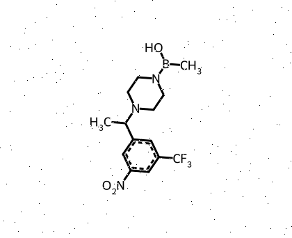 CB(O)N1CCN(C(C)c2cc([N+](=O)[O-])cc(C(F)(F)F)c2)CC1